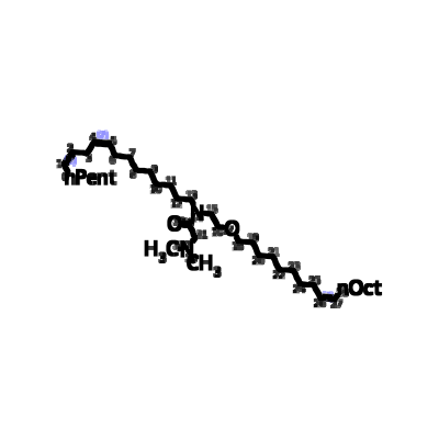 CCCCC/C=C\C/C=C\CCCCCCCCN(CCOCCCCCCCC/C=C\CCCCCCCC)C(=O)CN(C)C